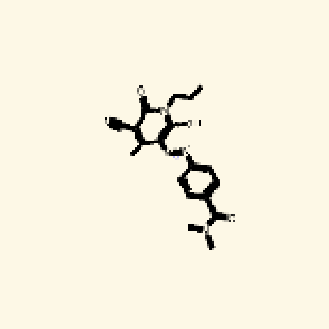 CCCn1c(O)c(/N=N/c2ccc(C(=O)N(C)C)cc2)c(C)c(C#N)c1=O